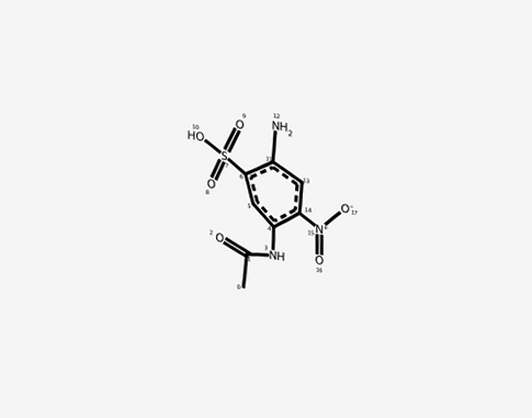 CC(=O)Nc1cc(S(=O)(=O)O)c(N)cc1[N+](=O)[O-]